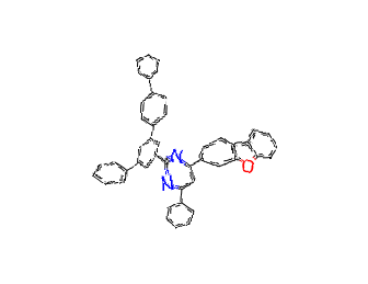 c1ccc(-c2ccc(-c3cc(-c4ccccc4)cc(-c4nc(-c5ccccc5)cc(-c5ccc6c(c5)oc5ccccc56)n4)c3)cc2)cc1